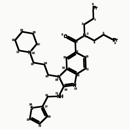 CC(C)CCN(CCC(C)C)C(=O)c1ccc2nc(NCc3cccs3)n(CCCN3CCCCC3)c2c1